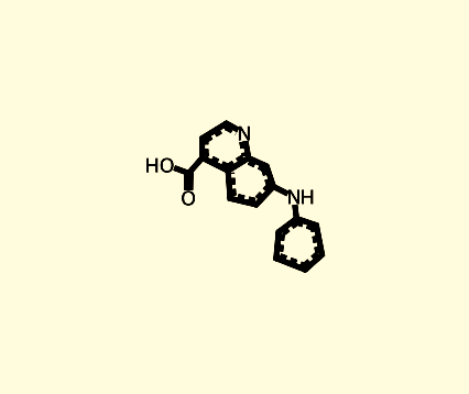 O=C(O)c1ccnc2cc(Nc3ccccc3)ccc12